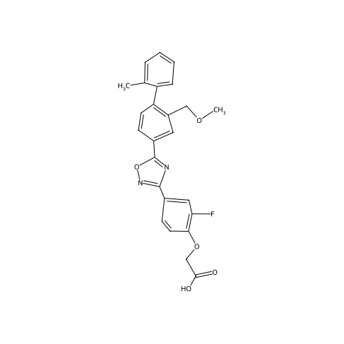 COCc1cc(-c2nc(-c3ccc(OCC(=O)O)c(F)c3)no2)ccc1-c1ccccc1C